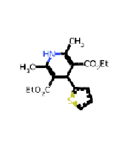 CCOC(=O)C1=C(C)NC(C)=C(C(=O)OCC)C1c1cccs1